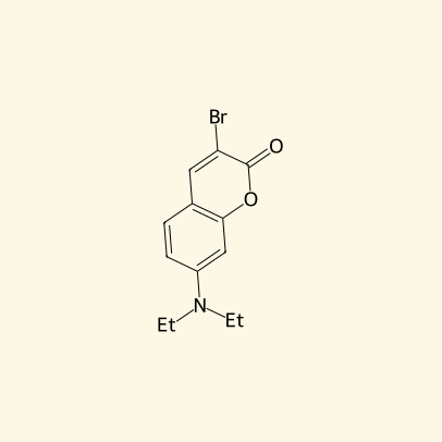 CCN(CC)c1ccc2cc(Br)c(=O)oc2c1